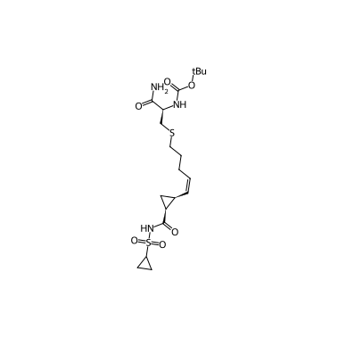 CC(C)(C)OC(=O)N[C@@H](CSCCC/C=C\[C@@H]1C[C@@H]1C(=O)NS(=O)(=O)C1CC1)C(N)=O